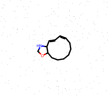 C1=C\CCCCCCC2OCNC2/C=C/1